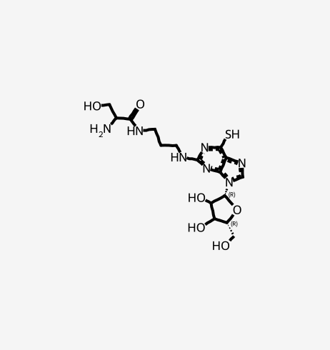 NC(CO)C(=O)NCCCNc1nc(S)c2ncn([C@@H]3O[C@H](CO)C(O)C3O)c2n1